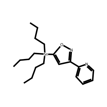 CCC[CH2][Sn]([CH2]CCC)([CH2]CCC)[c]1cc(-c2ccccn2)no1